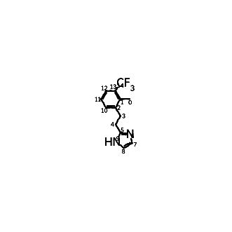 Cc1c(CCc2ncc[nH]2)cccc1C(F)(F)F